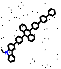 CCn1c2ccccc2c2cc(-c3ccc(-c4c5ccccc5c(-c5ccc(-c6ccc(-c7ccccc7)cc6)cc5)c5ccccc45)cc3)ccc21